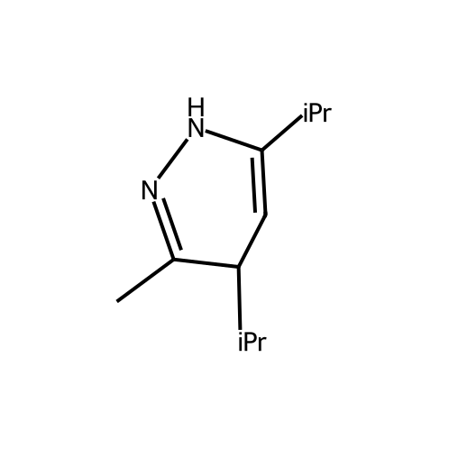 CC1=NNC(C(C)C)=CC1C(C)C